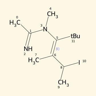 CC(=N)N(C)/C(=C(\C)C(C)I)C(C)(C)C